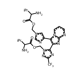 CC(C)C(N)C(=O)OCn1cnc(-c2c(-c3nc(C(F)(F)F)nn3COC(=O)C(N)C(C)C)nc3ncccn23)c1